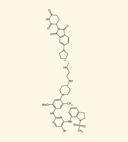 COc1cc(N2CCC(NCCNC[C@@H]3CCN(c4ccc5c(c4)C(=O)N(C4CCC(=O)NC4=O)C5=O)C3)CC2)c(C)cc1Nc1ncc(Br)c(Nc2cccc3c2N(S(C)(=O)=O)CC3)n1